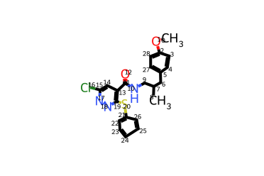 COc1ccc(CC(C)CNC(=O)c2cc(Cl)nnc2Sc2ccccc2)cc1